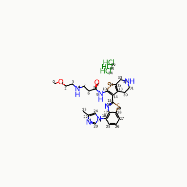 COCCNCCC(=O)Nc1sc2c(c1-c1nc3c(-n4cnc(C)c4)cccc3s1)CCNC2.Cl.Cl.Cl